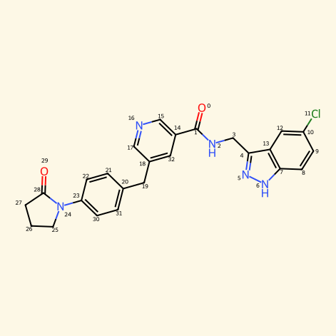 O=C(NCc1n[nH]c2ccc(Cl)cc12)c1cncc(Cc2ccc(N3CCCC3=O)cc2)c1